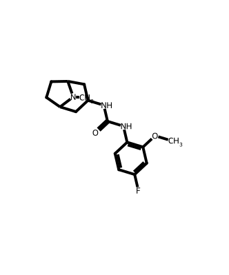 COc1cc(F)ccc1NC(=O)NC1CC2CCC(C1)N2C